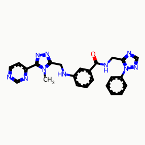 Cn1c(CNc2cccc(C(=O)NCc3ncnn3-c3ccccc3)c2)nnc1-c1ccncn1